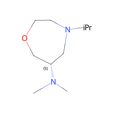 CC(C)N1CCOC[C@@H](N(C)C)C1